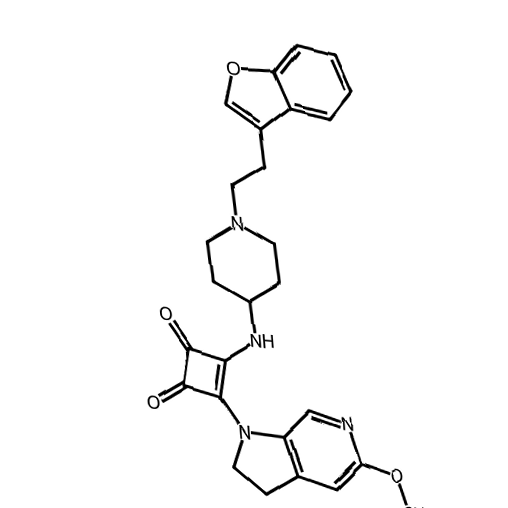 COc1cc2c(cn1)N(c1c(NC3CCN(CCc4coc5ccccc45)CC3)c(=O)c1=O)CC2